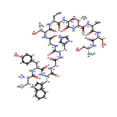 CC(C)C[C@H](NC(=O)[C@@H](NC(=O)CNC(=O)[C@H](Cc1c[nH]cn1)NC(=O)CNC(=O)[C@H](Cc1c[nH]c2ccccc12)NC(=O)[C@H](Cc1ccc(O)cc1)NC(=O)[C@@H](N)CC(=O)O)[C@@H](C)O)C(=O)N[C@H](C(=O)N[C@H](C(=O)N[C@H](C(=O)N[C@@H](CO)C(=O)N[C@@H](CO)C(=O)O)C(C)C)[C@@H](C)O)C(C)C